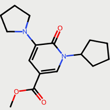 COC(=O)c1cc(N2CCCC2)c(=O)n(C2CCCC2)c1